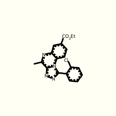 CCOC(=O)c1ccc2c(c1)nc(C)c1nnc(-c3ccccc3Cl)n12